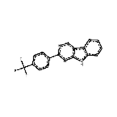 FC(F)(F)c1ccc(-c2ncc3c(n2)[nH]c2ccccc23)cc1